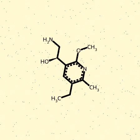 CCc1cc([C@@H](O)CN)c(OC)nc1C